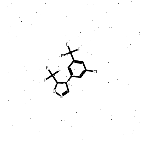 FC(F)(F)c1cc(Cl)cc([C@H]2C=NOC2C(F)(F)F)c1